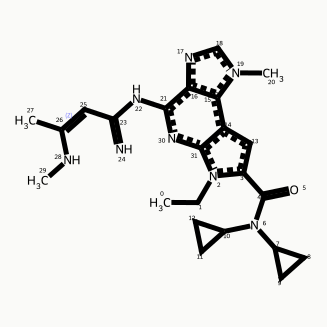 CCn1c(C(=O)N(C2CC2)C2CC2)cc2c3c(ncn3C)c(NC(=N)/C=C(/C)NC)nc21